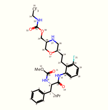 CCC[C@H](c1ccccc1)[C@H](NC(=O)OC)C(=O)Nc1cccc(F)c1CC[C@@H]1CN[C@H](COC(=O)NCC(F)(F)F)CO1